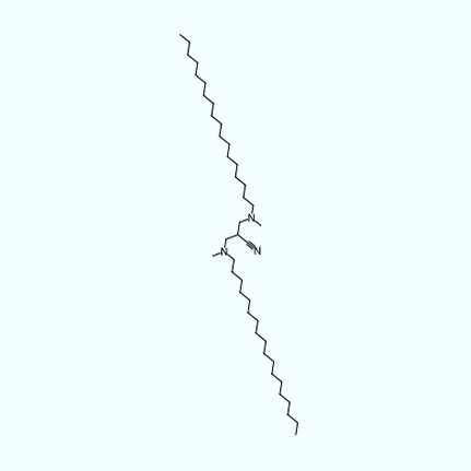 CCCCCCCCCCCCCCCCCCN(C)CC(C#N)CN(C)CCCCCCCCCCCCCCCCCC